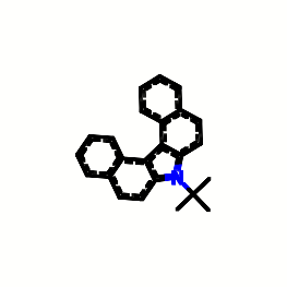 CC(C)(C)n1c2ccc3ccccc3c2c2c3ccccc3ccc21